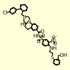 O=C(NS(=O)(=O)c1ccc(NCCSc2ccccc2CO)c([N+](=O)[O-])c1)c1ccc2c(c1)CC[C@H]1CN(Cc3ccccc3-c3ccc(Cl)cc3)CCN21